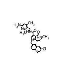 CN/C=C\c1c(C=O)c(C(=O)NCc2c(C)cc(N)nc2C)cn1Cc1ccc2ncc(Cl)cc2c1